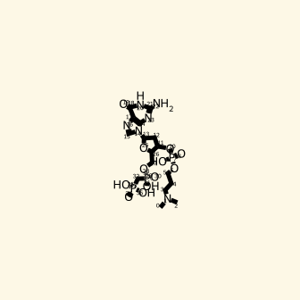 CN(C)CCCOP(=O)(O)OC1CC(n2cnc3c(=O)[nH]c(N)nc32)OC1COP(=O)(O)CP(=O)(O)O